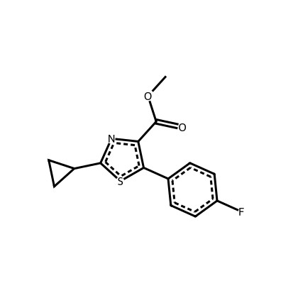 COC(=O)c1nc(C2CC2)sc1-c1ccc(F)cc1